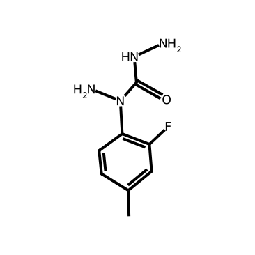 Cc1ccc(N(N)C(=O)NN)c(F)c1